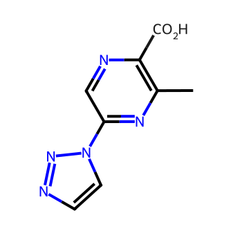 Cc1nc(-n2ccnn2)cnc1C(=O)O